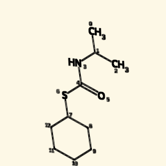 CC(C)NC(=O)SC1CCCCC1